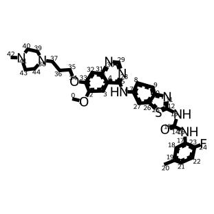 COc1cc2c(Nc3ccc4nc(NC(=O)Nc5cc(C)ccc5F)sc4c3)ncnc2cc1OCCCN1CCN(C)CC1